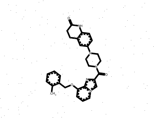 Cc1ccccc1COc1cccn2cc(C(=O)N3CCN(c4ccc5c(c4)CCC(=O)N5)CC3)nc12